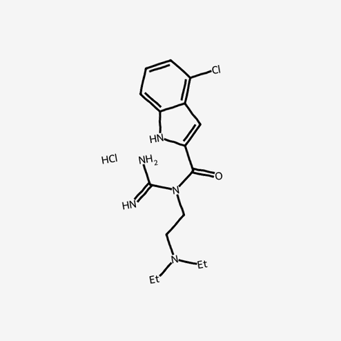 CCN(CC)CCN(C(=N)N)C(=O)c1cc2c(Cl)cccc2[nH]1.Cl